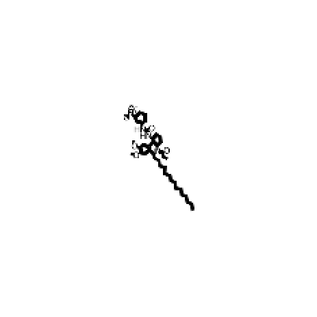 CCCCCCCCCCCCCCCCc1cc(OC)c(OC)cc1-c1c(NC(=O)CC)cccc1NC(=O)Nc1cccc([N+](=O)[O-])c1